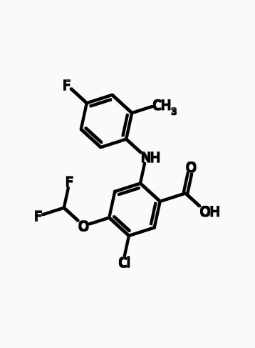 Cc1cc(F)ccc1Nc1cc(OC(F)F)c(Cl)cc1C(=O)O